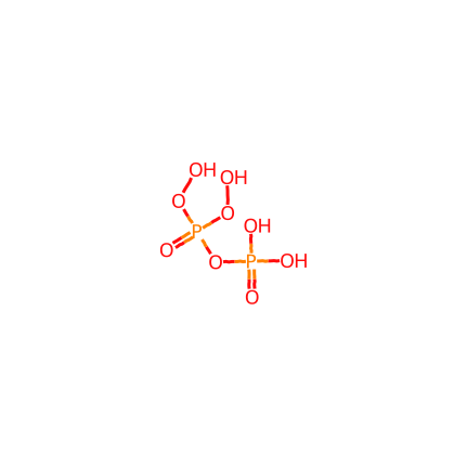 O=P(O)(O)OP(=O)(OO)OO